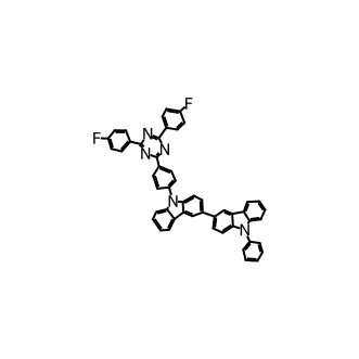 Fc1ccc(-c2nc(-c3ccc(F)cc3)nc(-c3ccc(-n4c5ccccc5c5cc(-c6ccc7c(c6)c6ccccc6n7-c6ccccc6)ccc54)cc3)n2)cc1